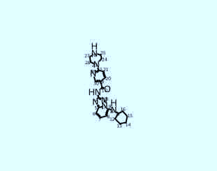 O=C(Nc1nc2cccc(NC3CCCCC3)n2n1)c1ccc(N2CCNCC2)nc1